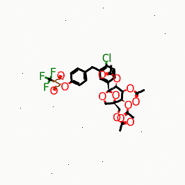 CC(=O)OC[C@@]12CO[C@@](c3ccc(Cl)c(Cc4ccc(OS(=O)(=O)C(F)(F)F)cc4)c3)(O1)[C@H](OC(C)=O)[C@@H](OC(C)=O)[C@@H]2OC(C)=O